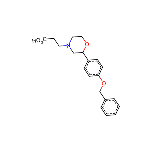 O=C(O)CCN1CCOC(c2ccc(OCc3ccccc3)cc2)C1